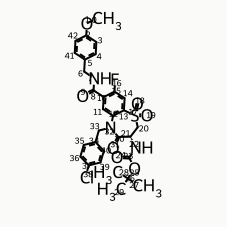 COc1ccc(CNC(=O)c2cc3c(cc2F)S(=O)(=O)C[C@H](NC(=O)OC(C)(C)C)C(=O)N3Cc2ccc(Cl)cc2)cc1